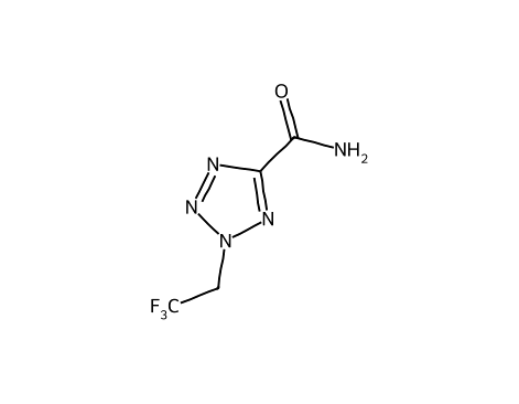 NC(=O)c1nnn(CC(F)(F)F)n1